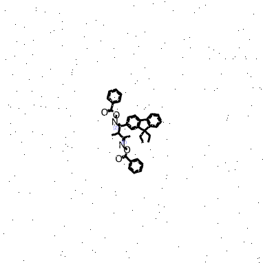 CCC1(CC)c2ccccc2-c2ccc(/C(=N\OC(=O)c3ccccc3)C(C)/C(C)=N/OC(=O)c3ccccc3)cc21